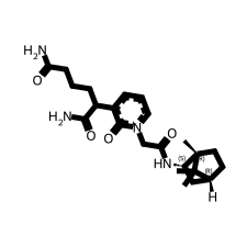 CC1(C)[C@@H]2CC[C@@]1(C)[C@@H](NC(=O)Cn1cccc(C(CCCC(N)=O)C(N)=O)c1=O)C2